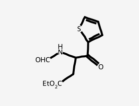 CCOC(=O)CC(NC=O)C(=O)c1cccs1